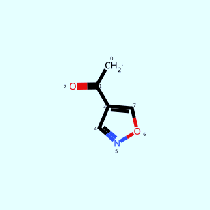 [CH2]C(=O)c1cnoc1